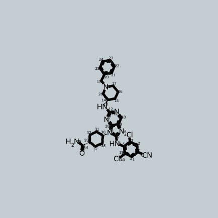 N#Cc1cc(Cl)c(Nc2nc3cnc(N[C@@H]4CCCN(Cc5ccccc5)C4)nc3n2[C@H]2CC[C@@H](C(N)=O)CC2)c(Cl)c1